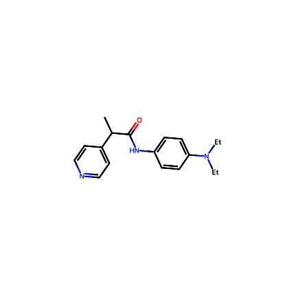 CCN(CC)c1ccc(NC(=O)C(C)c2ccncc2)cc1